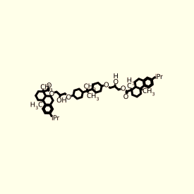 CC(C)c1ccc2c(c1)CCC1C(C)(C(=O)OCC(O)COC3CCC(C(C)(C)C4CCC(OCC(O)COC(=O)C5(C)CCCC6(C)c7ccc(C(C)C)cc7CCC56)CC4)CC3)CCCC21C